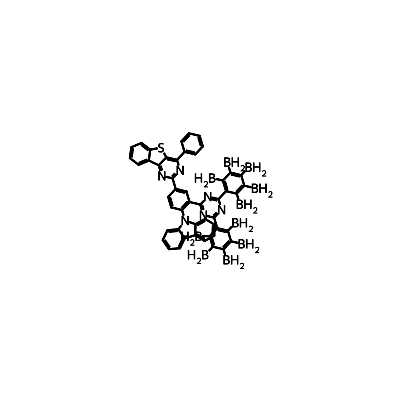 Bc1c(B)c(B)c(-c2nc(-c3cc(-c4nc(-c5ccccc5)c5sc6ccccc6c5n4)ccc3-n3c4ccccc4c4ccccc43)nc(-c3c(B)c(B)c(B)c(B)c3B)n2)c(B)c1B